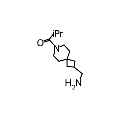 CC(C)C(=O)N1CCC2(CC1)CC(CN)C2